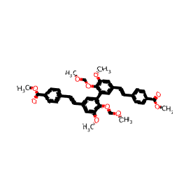 COCOc1c(OC)cc(C=Cc2ccc(C(=O)OC)cc2)cc1-c1cc(C=Cc2ccc(C(=O)OC)cc2)cc(OC)c1OCOC